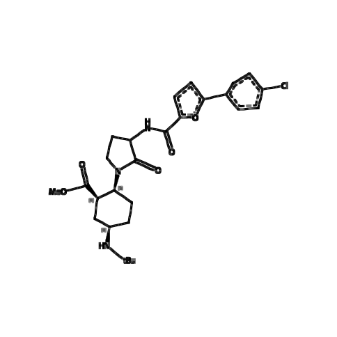 COC(=O)[C@@H]1C[C@H](NC(C)(C)C)CC[C@@H]1N1CCC(NC(=O)c2ccc(-c3ccc(Cl)cc3)o2)C1=O